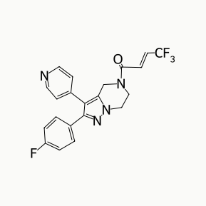 O=C(/C=C/C(F)(F)F)N1CCn2nc(-c3ccc(F)cc3)c(-c3ccncc3)c2C1